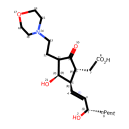 CCCCC[C@H](O)/C=C/[C@@H]1[C@@H](CC(=O)O)C(=O)C(CCN2CCOCC2)[C@@H]1O